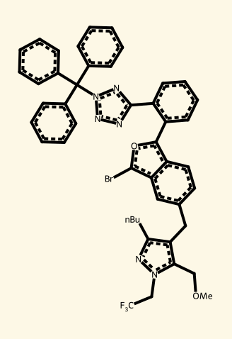 CCCCc1nn(CC(F)(F)F)c(COC)c1Cc1ccc2c(-c3ccccc3-c3nnn(C(c4ccccc4)(c4ccccc4)c4ccccc4)n3)oc(Br)c2c1